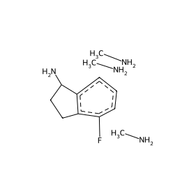 CN.CN.CN.NC1CCc2c(F)cccc21